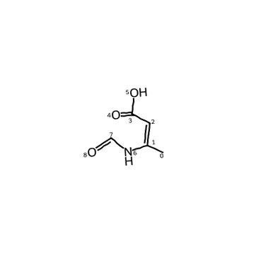 CC(=CC(=O)O)NC=O